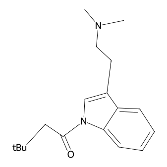 CN(C)CCc1cn(C(=O)CC(C)(C)C)c2ccccc12